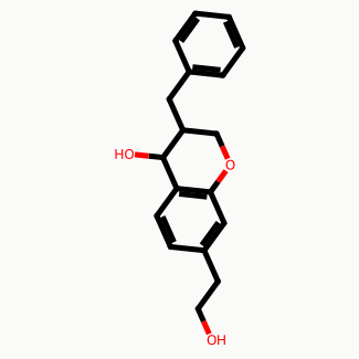 OCCc1ccc2c(c1)OCC(Cc1ccccc1)C2O